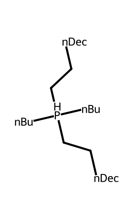 CCCCCCCCCCCC[PH](CCCC)(CCCC)CCCCCCCCCCCC